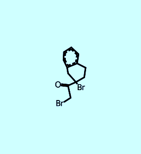 O=C(CBr)C1(Br)CCc2ccccc2C1